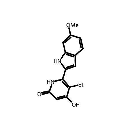 CCc1c(O)cc(=O)[nH]c1-c1cc2ccc(OC)cc2[nH]1